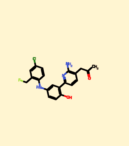 CC(=O)Cc1ccc(-c2cc(Nc3ccc(Cl)cc3CF)ccc2O)nc1N